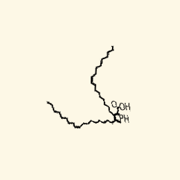 CCCCCCCC/C=C\CCCCCCCCc1c[pH]c(C(=O)O)c1CCCCCCCC/C=C\CCCCCCCC